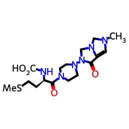 CSCC[C@@H](NC(=O)O)C(=O)N1CCN(N2CN3CN(C)C=C3C2=O)CC1